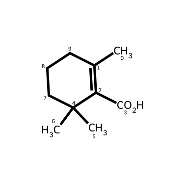 CC1=C(C(=O)O)C(C)(C)CCC1